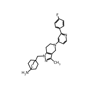 Cc1nn(CC23CCC(N)(CC2)CC3)c2c1CN(c1ccnc(-c3ccc(F)cc3)c1)CC2